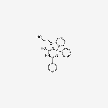 OCCOc1ccccc1C1(c2ccccc2)N=C(O)NC(c2ccccc2)=N1